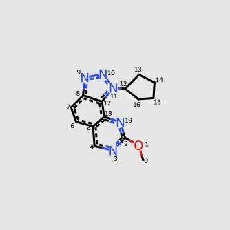 COc1ncc2ccc3nnn(C4CCCC4)c3c2n1